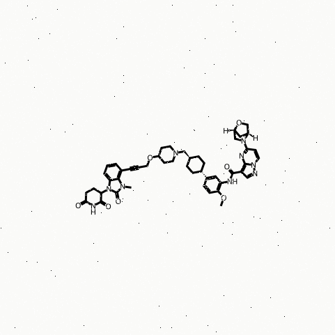 COc1ccc([C@H]2CC[C@H](CN3CCC(OCC#Cc4cccc5c4n(C)c(=O)n5C4CCC(=O)NC4=O)CC3)CC2)cc1NC(=O)c1cnn2ccc(N3C[C@H]4C[C@@H]3CO4)nc12